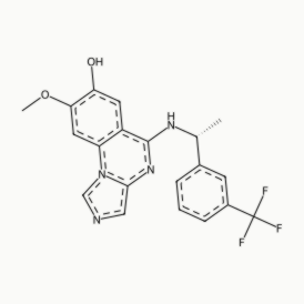 COc1cc2c(cc1O)c(N[C@H](C)c1cccc(C(F)(F)F)c1)nc1cncn12